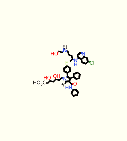 CC(C)c1c(C(=O)Nc2ccccc2)c(-c2ccccc2)c(-c2ccc(F)cc2)n1CC[C@@H](O)C[C@@H](O)CC(=O)O.CCN(CCO)CCCC(C)Nc1ccnc2cc(Cl)ccc12